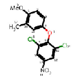 COc1ccc(Oc2c(Cl)cc([N+](=O)[O-])cc2Cl)cc1C